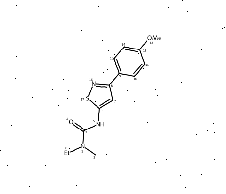 CCN(C)C(=O)Nc1cc(-c2ccc(OC)cc2)ns1